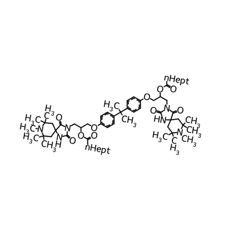 CCCCCCCC(=O)OC(COc1ccc(C(C)(C)c2ccc(OCC(CN3C(=O)NC4(CC(C)(C)N(C)C(C)(C)C4)C3=O)OC(=O)CCCCCCC)cc2)cc1)CN1C(=O)NC2(CC(C)(C)N(C)C(C)(C)C2)C1=O